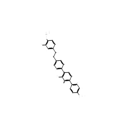 CCCc1ccc(-c2ccc(-c3ccc(CCc4ccc(OC(F)(F)F)c(F)c4)cc3)c(F)c2F)cc1